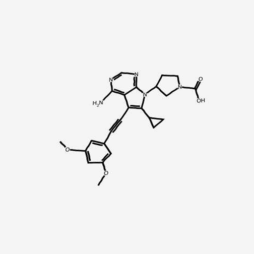 COc1cc(C#Cc2c(C3CC3)n(C3CCN(C(=O)O)C3)c3ncnc(N)c23)cc(OC)c1